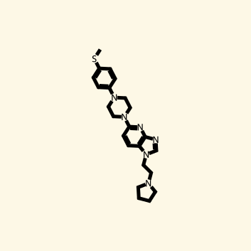 CSc1ccc(N2CCN(c3ccc4c(ncn4CCN4CCCC4)n3)CC2)cc1